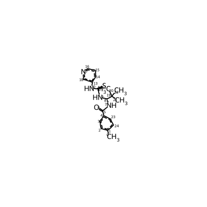 Cc1ccc(C(=O)N[C@@H](NC(=S)Nc2cccnc2)C(C)(C)C)cc1